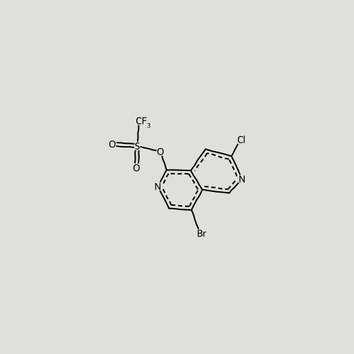 O=S(=O)(Oc1ncc(Br)c2cnc(Cl)cc12)C(F)(F)F